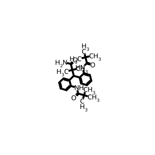 CC(C)(C)C(=O)Nc1ccccc1C(c1ccccc1NC(=O)C(C)(C)C)C(C)(C)C(N)=O